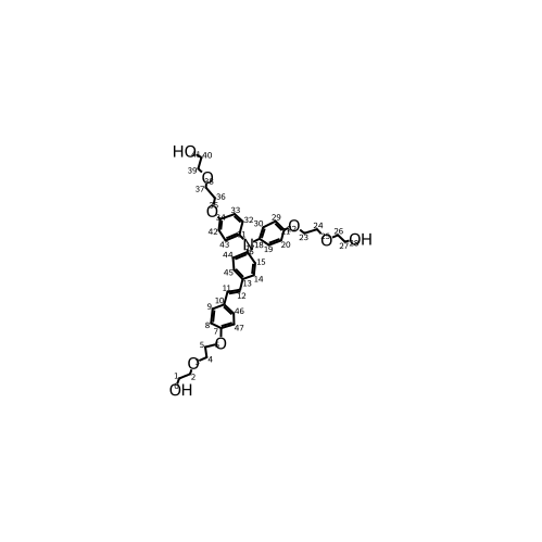 OCCOCCOc1ccc(C=Cc2ccc(N(c3ccc(OCCOCCO)cc3)c3ccc(OCCOCCO)cc3)cc2)cc1